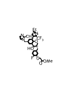 CCn1cc(-c2cc(Cn3ccnc3C)cc3c2OC[C@H](Cc2ccc(F)c(OCC(=O)OC)c2)[C@@H]3O)c(C(F)(F)F)n1